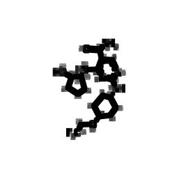 NC(=O)c1cnc(N[C@H]2CC[C@H](OCC(F)(F)F)CC2)nc1N[C@@H]1CCCC1O